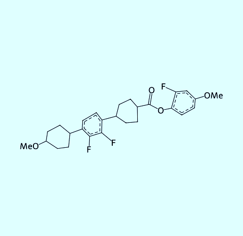 COc1ccc(OC(=O)C2CCC(c3ccc(C4CCC(OC)CC4)c(F)c3F)CC2)c(F)c1